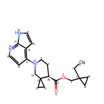 N#CCC1(COC(=O)[C@@H]2CCN(c3ccnc4[nH]ccc34)CC23CC3)CC1